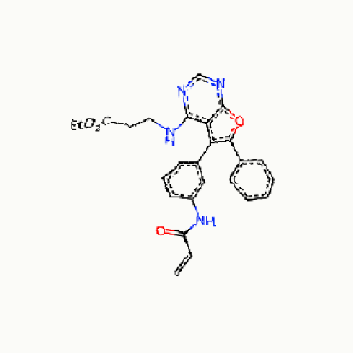 C=CC(=O)Nc1cccc(-c2c(-c3ccccc3)oc3ncnc(NCCC(=O)OCC)c23)c1